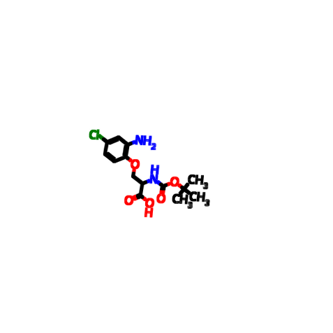 CC(C)(C)OC(=O)NC(COc1ccc(Cl)cc1N)C(=O)O